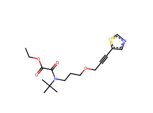 CCOC(=O)C(=O)N(CCCOCC#Cc1cncs1)C(C)(C)C